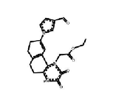 CCOC(=O)Cn1c2c([nH]c(=O)c1=O)CCC1=C2C=C(n2ccc(C=O)c2)CC1